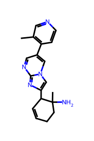 Cc1cnccc1-c1cnc2nc(C3C=CCCC3(C)N)cn2c1